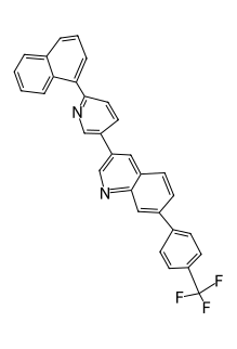 FC(F)(F)c1ccc(-c2ccc3cc(-c4ccc(-c5cccc6ccccc56)nc4)cnc3c2)cc1